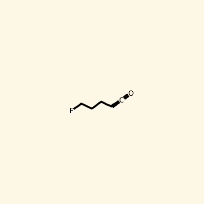 O=C=CCCCF